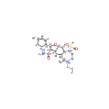 CCCN1CCN(S(C)(=O)=O)c2cc3oc(-c4ccc(F)cc4)c(C(=O)NC)c3cc2C1C